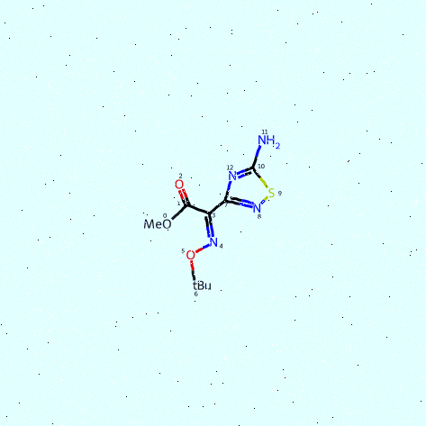 COC(=O)C(=NOC(C)(C)C)c1nsc(N)n1